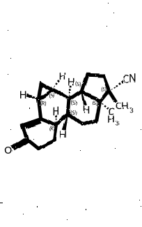 C[C@]1(C#N)CC[C@H]2[C@H]3[C@H](CC[C@@]21C)[C@H]1CCC(=O)C=C1[C@@H]1C[C@@H]31